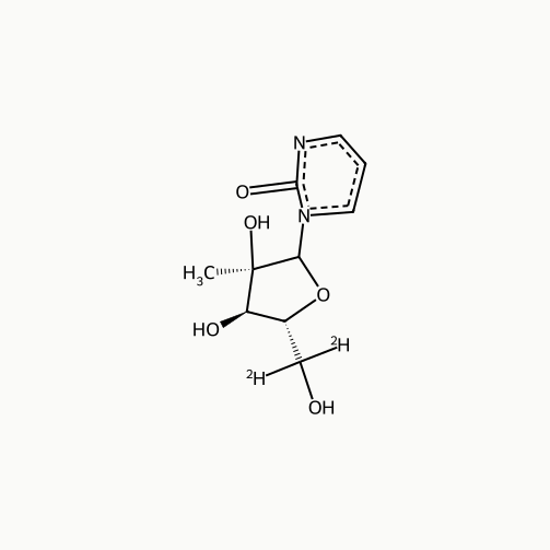 [2H]C([2H])(O)[C@H]1OC(n2cccnc2=O)[C@](C)(O)[C@@H]1O